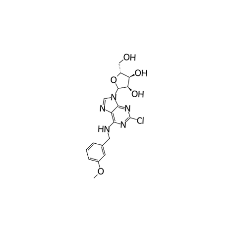 COc1cccc(CNc2nc(Cl)nc3c2ncn3C2O[C@H](CO)[C@@H](O)[C@H]2O)c1